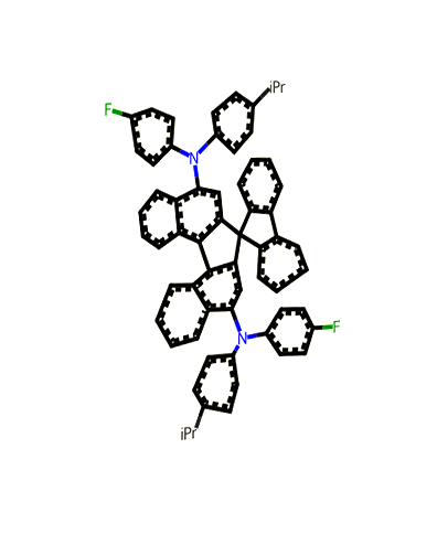 CC(C)c1ccc(N(c2ccc(F)cc2)c2cc3c(c4ccccc24)-c2c(cc(N(c4ccc(F)cc4)c4ccc(C(C)C)cc4)c4ccccc24)C32c3ccccc3-c3ccccc32)cc1